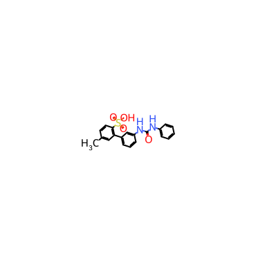 Cc1ccc(S(=O)(=O)O)c(-c2cccc(NC(=O)Nc3ccccc3)c2)c1